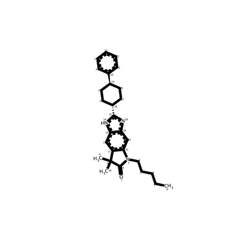 CCCCCN1C(=O)C(C)(C)c2cc3[nH]c([C@H]4CC[C@H](c5ccccc5)CC4)nc3cc21